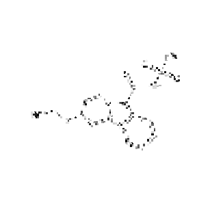 CCCCS(=O)(=O)NC(=O)c1c2ccc(OCC#N)cc2n2ccccc12